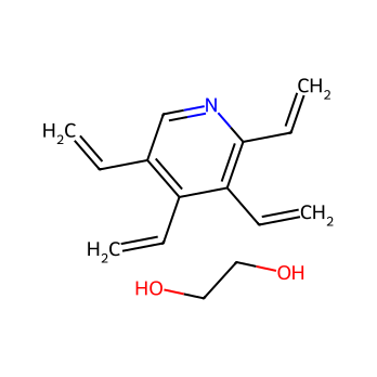 C=Cc1cnc(C=C)c(C=C)c1C=C.OCCO